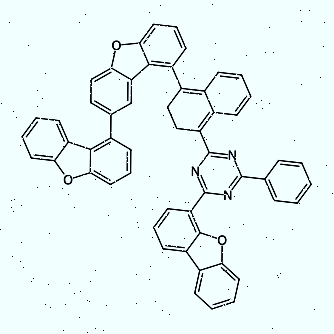 c1ccc(-c2nc(C3=c4ccccc4=C(c4cccc5oc6ccc(-c7cccc8oc9ccccc9c78)cc6c45)CC3)nc(-c3cccc4c3oc3ccccc34)n2)cc1